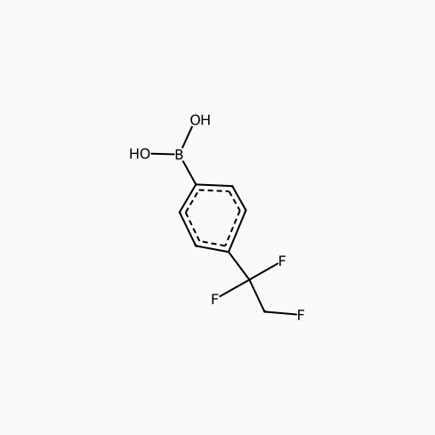 OB(O)c1ccc(C(F)(F)CF)cc1